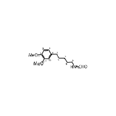 COc1ccc(CCCCCNC=O)cc1OC